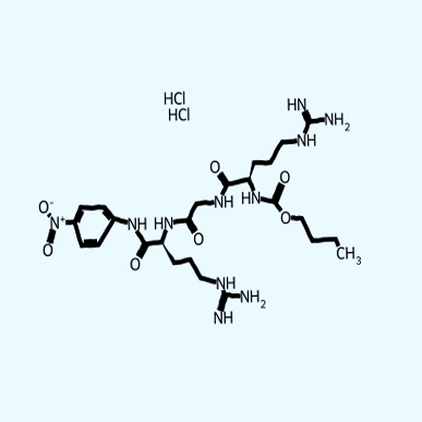 CCCCOC(=O)N[C@H](CCCNC(=N)N)C(=O)NCC(=O)N[C@@H](CCCNC(=N)N)C(=O)Nc1ccc([N+](=O)[O-])cc1.Cl.Cl